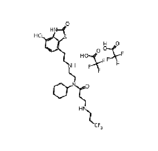 O=C(CCNCCC(F)(F)F)N(CCNCCc1ccc(O)c2[nH]c(=O)sc12)C1CCCCC1.O=C(O)C(F)(F)F.O=C(O)C(F)(F)F